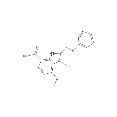 COc1ccc(C(=O)O)c2c1N(Cl)C(COc1ccccc1)N2